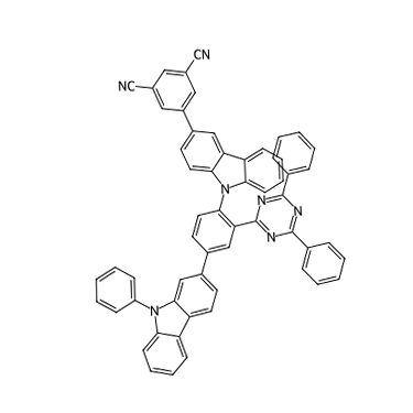 N#Cc1cc(C#N)cc(-c2ccc3c(c2)c2ccccc2n3-c2ccc(-c3ccc4c5ccccc5n(-c5ccccc5)c4c3)cc2-c2nc(-c3ccccc3)nc(-c3ccccc3)n2)c1